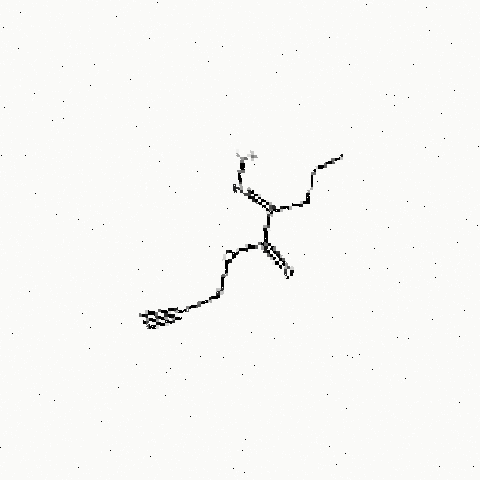 C#CCOC(=O)C(CCC)=NO